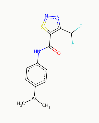 C[As](C)c1ccc(NC(=O)c2snnc2C(F)F)cc1